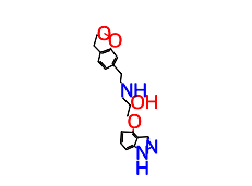 OC(CNCCc1ccc2c(c1)OOCC2)COc1cccc2[nH]ncc12